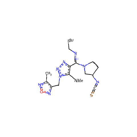 CNc1c(/C(=N\CC(C)(C)C)N2CCC(N=C=S)C2)nnn1Cc1nonc1C